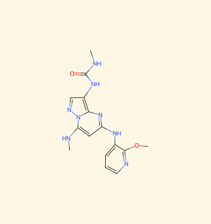 CNC(=O)Nc1cnn2c(NC)cc(Nc3cccnc3OC)nc12